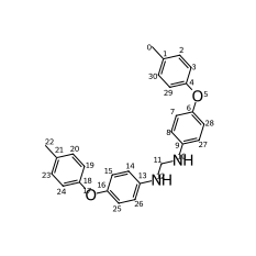 Cc1ccc(Oc2ccc(NCNc3ccc(Oc4ccc(C)cc4)cc3)cc2)cc1